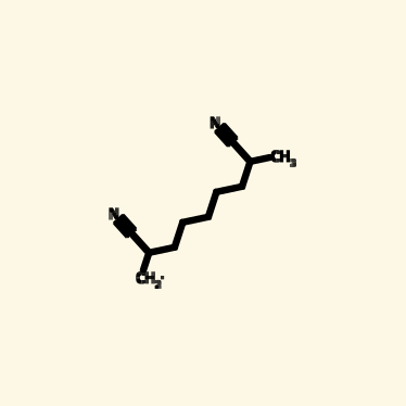 [CH2]C(C#N)CCCCCC(C)C#N